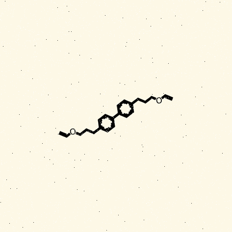 C=COCCCc1ccc(-c2ccc(CCCOC=C)cc2)cc1